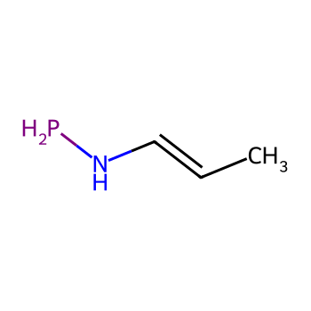 C/C=C/NP